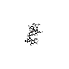 CCCC(=O)C[C@H]([C@@H](C)N(C)C)[C@](C)(O)[C@@H](CC)OC(=O)[C@H](C)[C@@H](O[C@H]1C[C@@](C)(OC)[C@@H](O)[C@H](C)O1)[C@H](C)[C@@H](O[C@@H]1O[C@H](C)C[C@H](N(C)C)[C@H]1O)[C@](C)(O)CC(C)C